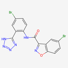 O=C(Nc1ccc(Br)cc1-c1nnn[nH]1)c1noc2ccc(Br)cc12